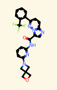 O=C(Nc1cccc(N2CC3(COC3)C2)n1)c1cnc2ccc(-c3ccccc3C(F)(F)F)nn12